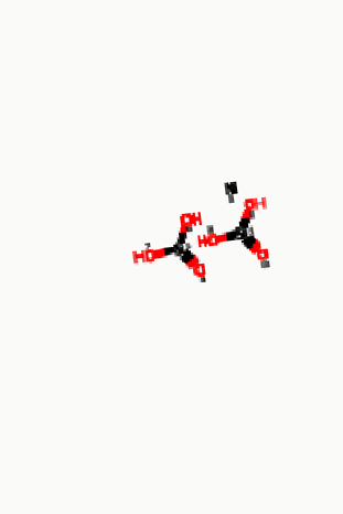 O=[Si](O)O.O=[Si](O)O.[Ni]